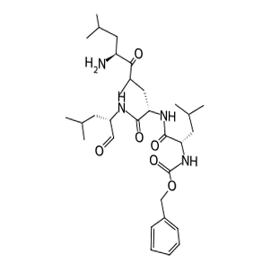 CC(C)C[C@@H](C=O)NC(=O)[C@H](CC(C)C(=O)[C@@H](N)CC(C)C)NC(=O)[C@H](CC(C)C)NC(=O)OCc1ccccc1